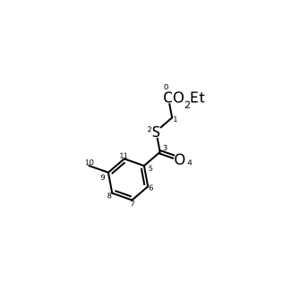 CCOC(=O)CSC(=O)c1cccc(C)c1